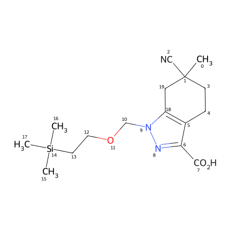 CC1(C#N)CCc2c(C(=O)O)nn(COCC[Si](C)(C)C)c2C1